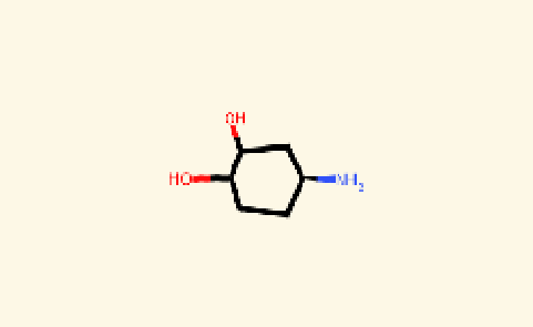 N[C@H]1CCC(O)C(O)C1